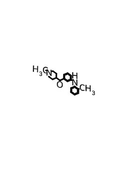 Cc1ccccc1Nc1cccc(C(=O)C2CCN(C)CC2)c1